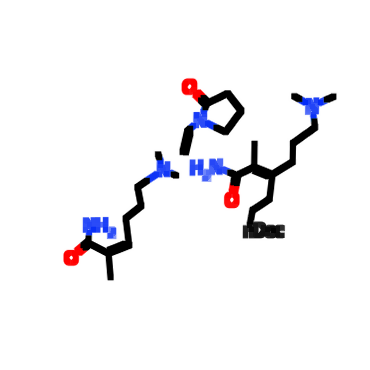 C=CN1CCCC1=O.CC(=CCCCN(C)C)C(N)=O.CCCCCCCCCCCCC(CCCN(C)C)=C(C)C(N)=O